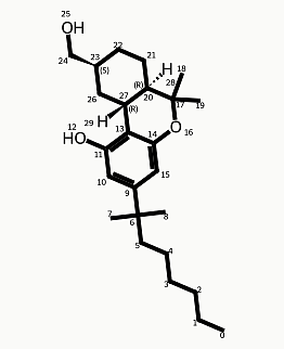 CCCCCCC(C)(C)c1cc(O)c2c(c1)OC(C)(C)[C@@H]1CC[C@H](CO)C[C@@H]21